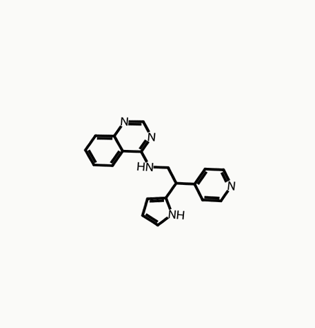 c1c[nH]c(C(CNc2ncnc3ccccc23)c2ccncc2)c1